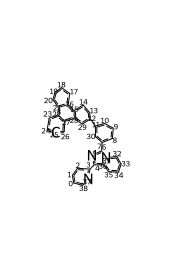 c1ccc(-c2nc(-c3cccc(-c4ccc5c6ccccc6c6ccccc6c5c4)c3)n3ccccc23)nc1